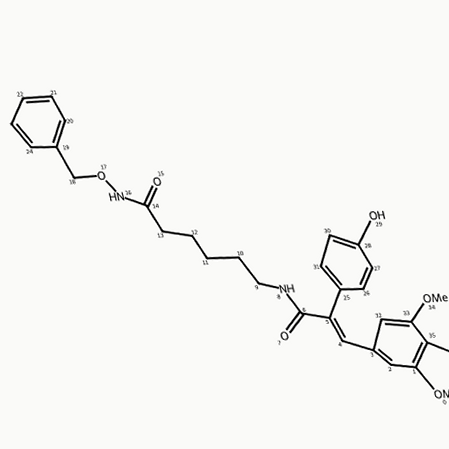 COc1cc(C=C(C(=O)NCCCCCC(=O)NOCc2ccccc2)c2ccc(O)cc2)cc(OC)c1OC